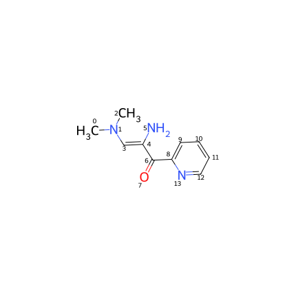 CN(C)/C=C(\N)C(=O)c1ccccn1